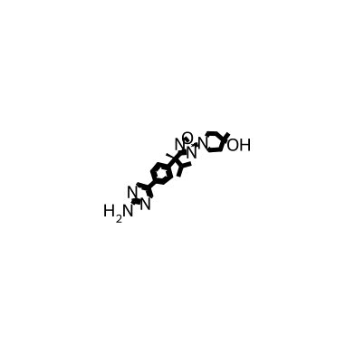 CC(C)[C@](C)(c1ccc(-c2cnc(N)nc2)cc1)c1noc(N2CCC(C)(O)CC2)n1